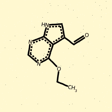 CCOc1ncnc2[nH]cc(C=O)c12